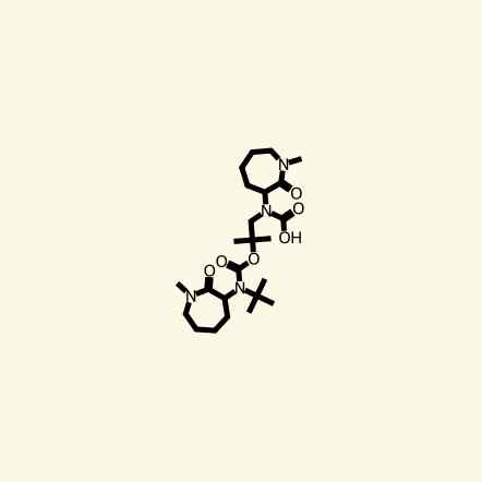 CN1CCCCC(N(CC(C)(C)OC(=O)N(C2CCCCN(C)C2=O)C(C)(C)C)C(=O)O)C1=O